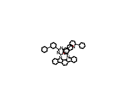 c1ccc(C2=NC(c3cccc(-c4ccccc4)c3)=NC(n3c4ccccc4c4ccc5c6ccccc6n(-c6cccc(-c7cccc(-c8ccccc8)n7)c6)c5c43)N2)cc1